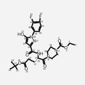 CCOC(=O)N1CCN(C(=O)[C@H](CCC(=O)OC(C)(C)C)NC(=O)c2cc(O)n(-c3ccc(F)c(F)c3)n2)CC1